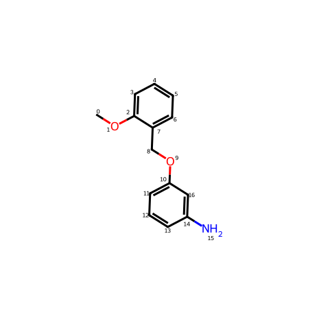 COc1ccccc1COc1cccc(N)c1